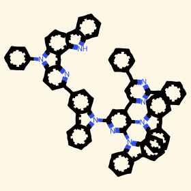 c1ccc(-c2cc(-c3cc(-n4c5ccccc5c5cc(-c6ccc7c(n6)c6c8[nH]c9ccccc9c8ccc6n7-c6ccccc6)ccc54)nc(-n4c5ccccc5c5ccccc54)c3-n3c4ccccc4c4ccccc43)nc(-c3ccccc3)n2)cc1